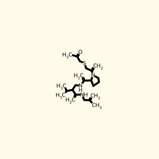 C=C(C)CNC(=C)C(CNC(=C)C1CCCN1C(=C)CSCC(C)=O)C(C)C